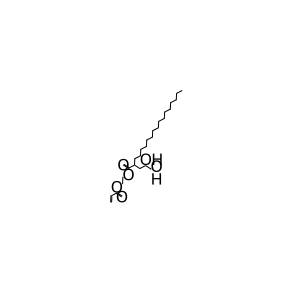 C=CC(=O)OCCOC(=O)C(CCCCCCCCCCCCCCCC)CC(O)CO